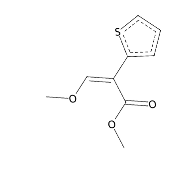 COC=C(C(=O)OC)c1cccs1